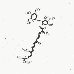 CC(/C=C/C=C(\C)C(=O)O)=C\C=C\C=C(C)\C=C\C=C(/C)C(=O)O[C@@H]1O[C@H](CO[C@H]2C[C@@H](O)[C@H](O)[C@@H](CO)O2)[C@@H](O)[C@H](C=O)[C@H]1O